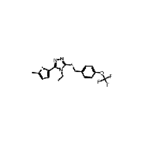 CCn1c(SCc2ccc(OC(F)(F)F)cc2)nnc1-c1ccc(C)s1